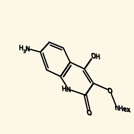 CCCCCCOc1c(O)c2ccc(N)cc2[nH]c1=O